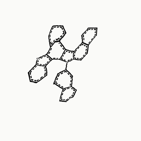 c1ccc2cc(-n3c4ccc5ccccc5c4c4c5ccccc5c5sc6ccccc6c5c43)ccc2c1